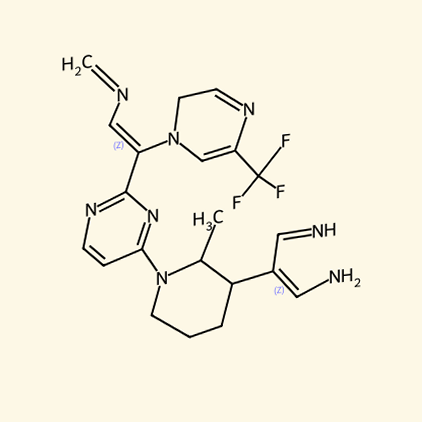 C=N/C=C(/c1nccc(N2CCCC(/C(C=N)=C/N)C2C)n1)N1C=C(C(F)(F)F)N=CC1